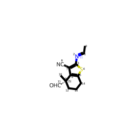 C/C=N/c1sc2c(c1C#N)[C@@](C)(C=O)CCC2